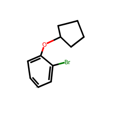 Brc1c[c]ccc1OC1CCCC1